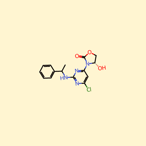 CC(Nc1nc(Cl)cc(N2C(=O)OC[C@@H]2O)n1)c1ccccc1